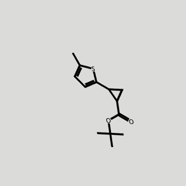 Cc1ccc(C2CC2C(=O)OC(C)(C)C)s1